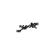 CC(NCCCCO)c1ccc(C2CCC(N(C)C(=O)c3ccc(Cl)cc3)CC2)cc1